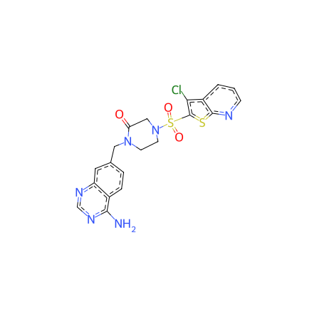 Nc1ncnc2cc(CN3CCN(S(=O)(=O)c4sc5ncccc5c4Cl)CC3=O)ccc12